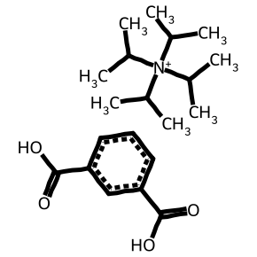 CC(C)[N+](C(C)C)(C(C)C)C(C)C.O=C(O)c1cccc(C(=O)O)c1